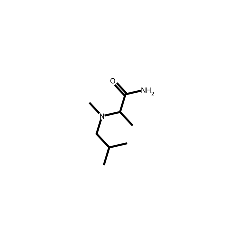 CC(C)CN(C)C(C)C(N)=O